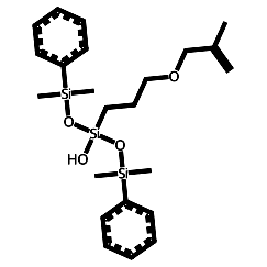 C=C(C)COCCC[Si](O)(O[Si](C)(C)c1ccccc1)O[Si](C)(C)c1ccccc1